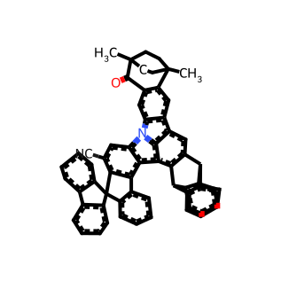 CC12CCC(C)(CC1)c1cc3c4cc5c(c6c7c8c(c(C#N)cc7n(c3cc1C2=O)c46)C1(c2ccccc2-c2ccccc21)c1ccccc1-8)C1c2ccccc2C5c2ccccc21